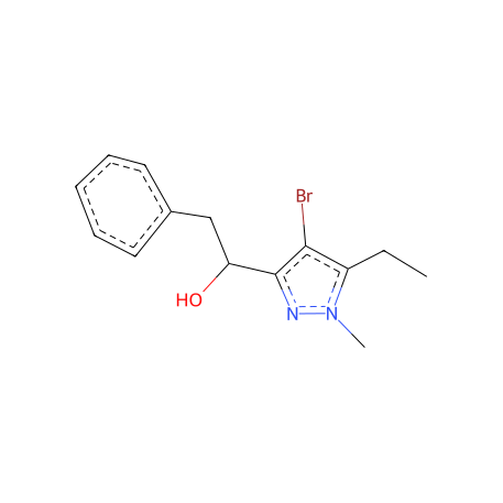 CCc1c(Br)c(C(O)Cc2ccccc2)nn1C